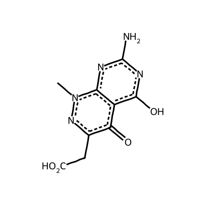 Cn1nc(CC(=O)O)c(=O)c2c(O)nc(N)nc21